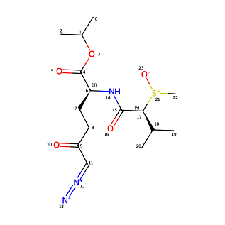 CC(C)OC(=O)[C@H](CCC(=O)C=[N+]=[N-])NC(=O)[C@H](C(C)C)[S+](C)[O-]